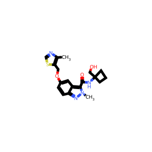 Cc1ncsc1COc1ccc2nn(C)c(C(=O)NC3(CO)CCC3)c2c1